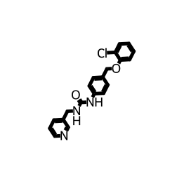 O=C(NCc1cccnc1)Nc1ccc(COc2ccccc2Cl)cc1